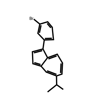 CC(C)c1cccc2c(-c3cccc(Br)c3)ccc-2c1